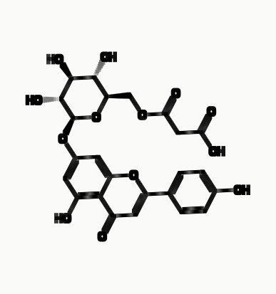 O=C(O)CC(=O)OC[C@H]1O[C@@H](Oc2cc(O)c3c(=O)cc(-c4ccc(O)cc4)oc3c2)[C@H](O)[C@@H](O)[C@@H]1O